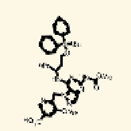 CCCC(CCO[Si](c1ccccc1)(c1ccccc1)C(C)(C)C)Nc1nc(NC(=O)OC)nc2cnn(Cc3ncc(C(=O)O)cc3OC)c12